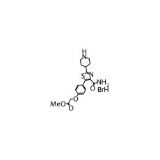 Br.COC(=O)COc1ccc(-c2sc(C3CCNCC3)nc2C(N)=O)cc1